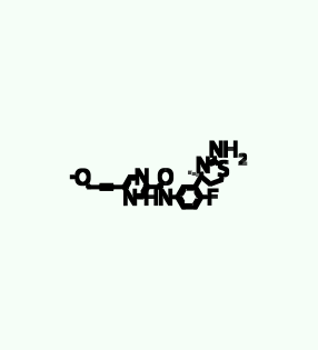 COCC#Cc1cnc(C(=O)Nc2ccc(F)c([C@]3(C)CCSC(N)=N3)c2)cn1